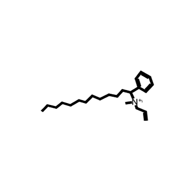 C=CC[N+](C)(C)C(CCCCCCCCCCCC)c1ccccc1